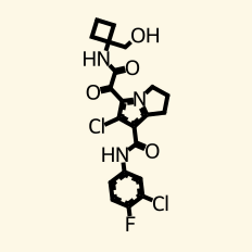 O=C(NC1(CO)CCC1)C(=O)c1c(Cl)c(C(=O)Nc2ccc(F)c(Cl)c2)c2n1CCC2